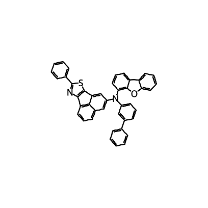 c1ccc(-c2cccc(N(c3cc4c5c(cccc5c3)-c3nc(-c5ccccc5)sc3-4)c3cccc4c3oc3ccccc34)c2)cc1